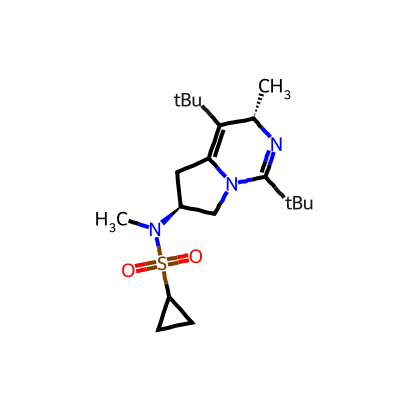 C[C@@H]1N=C(C(C)(C)C)N2C[C@@H](N(C)S(=O)(=O)C3CC3)CC2=C1C(C)(C)C